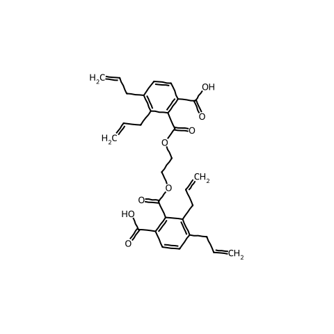 C=CCc1ccc(C(=O)O)c(C(=O)OCCOC(=O)c2c(C(=O)O)ccc(CC=C)c2CC=C)c1CC=C